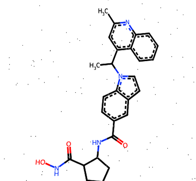 Cc1cc(C(C)n2ccc3cc(C(=O)NC4CCCC4C(=O)NO)ccc32)c2ccccc2n1